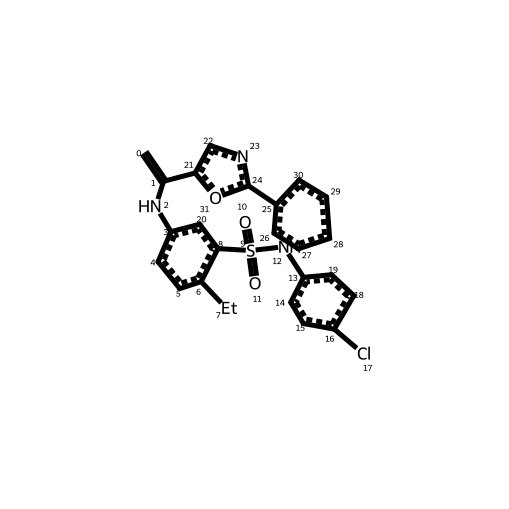 C=C(Nc1ccc(CC)c(S(=O)(=O)Nc2ccc(Cl)cc2)c1)c1cnc(-c2ccccc2)o1